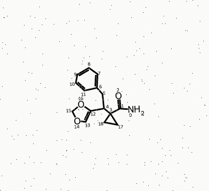 NC(=O)C1(C(Cc2ccccc2)C2=COCO2)CC1